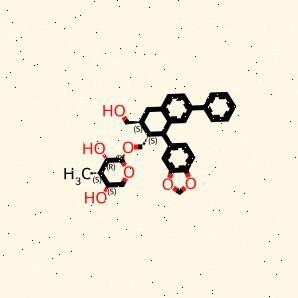 C[C@@H]1[C@@H](O)[C@H](OC[C@H]2C(c3ccc4c(c3)OCO4)c3cc(-c4ccccc4)ccc3C[C@@H]2CO)OC[C@H]1O